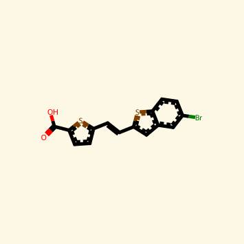 O=C(O)c1ccc(C=Cc2cc3cc(Br)ccc3s2)s1